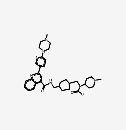 CN1CCC(N(CC2CCC(CNC(=O)c3cc(-c4ccc(N5CCN(C)CC5)nc4)nc4ccccc34)CC2)C(=O)O)CC1